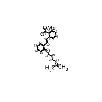 COC(=O)c1ccccc1C=Cc1ccccc1OCCCCN(C)C